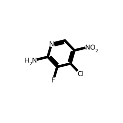 Nc1ncc([N+](=O)[O-])c(Cl)c1F